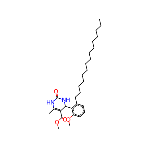 CCCCCCCCCCCCCCCc1cccc(OC)c1C1NC(=O)NC(C)=C1C(=O)OC